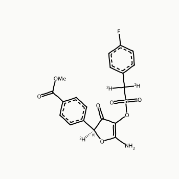 [2H]C([2H])(c1ccc(F)cc1)S(=O)(=O)OC1=C(N)O[C@@]([2H])(c2ccc(C(=O)OC)cc2)C1=O